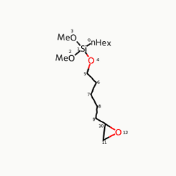 CCCCCC[Si](OC)(OC)OCCCCCC1CO1